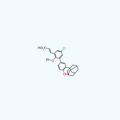 CCOc1c(C=CC(=O)O)cc(Cl)cc1-c1ccc(O)c(C23CC4CC(CC(C4)C2)C3)c1